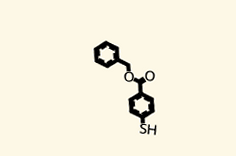 O=C(OCc1ccccc1)c1ccc(S)cc1